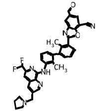 Cc1c(Nc2nc(C(F)F)cc3cc(CN4CCCC4)cnc23)cccc1-c1cccc(-c2nc3cc(C=O)cc(C#N)c3o2)c1C